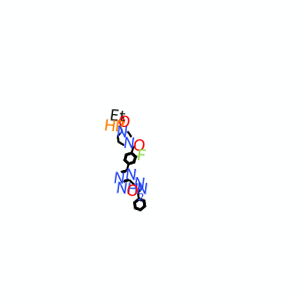 CCOPN1CCCN(C(=O)c2ccc(-c3cnc(N)c(-c4nnc(-c5ccccc5)o4)n3)cc2F)CC1